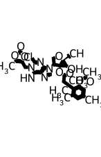 C#C[C@]12OCC(n3cnc4c(=N)n(Cc5oc(=O)oc5C)c(Cl)nc43)[C@@]1(OC(=O)CC(C)(C)c1c(C)cc(C)cc1OC(C)=O)C2O